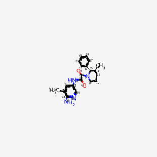 Cc1cc(NC(=O)C(=O)N2CCC[C@H](C)[C@H]2c2ccccc2)cnc1N